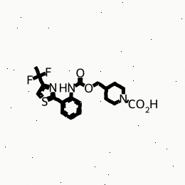 CC(F)(F)c1csc(-c2ccccc2NC(=O)OCC2CCN(C(=O)O)CC2)n1